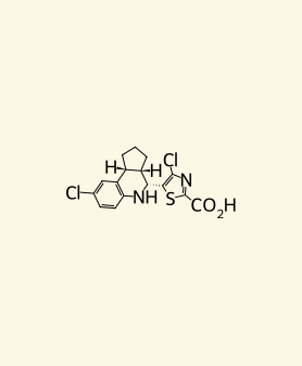 O=C(O)c1nc(Cl)c([C@@H]2Nc3ccc(Cl)cc3[C@@H]3CCC[C@@H]32)s1